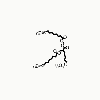 CCCCCCCCCCCCCCCCCC(=O)OCOC(=O)C(CCCCCC(=O)O)COC(=O)CCCCCCCCCCCCCCCCC